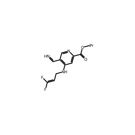 CC(C)OC(=O)c1cc(NCC=C(F)F)c(C=N)cn1